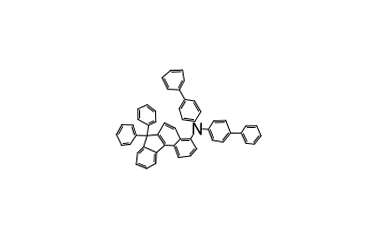 c1ccc(-c2ccc(N(c3ccc(-c4ccccc4)cc3)c3cccc4c5c(ccc34)C(c3ccccc3)(c3ccccc3)c3ccccc3-5)cc2)cc1